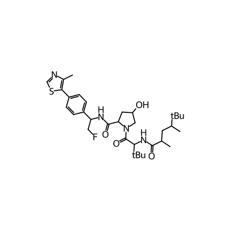 Cc1ncsc1-c1ccc(C(CF)NC(=O)C2CC(O)CN2C(=O)C(NC(=O)C(C)CC(C)C(C)(C)C)C(C)(C)C)cc1